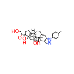 Cc1ccc(-n2ncc3c2C=C2CC[C@@H]4[C@H]([C@@H](O)C[C@@]5(C)[C@H]4CC[C@]5(O)C(=O)CO)[C@@]2(C)C3)cc1